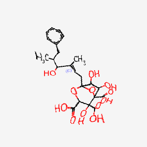 C/C(=C\CC12OC(C(=O)O)C(O)(C(=O)O)C(C(=O)O)(O1)C(O)C2O)C(O)C(C)Cc1ccccc1